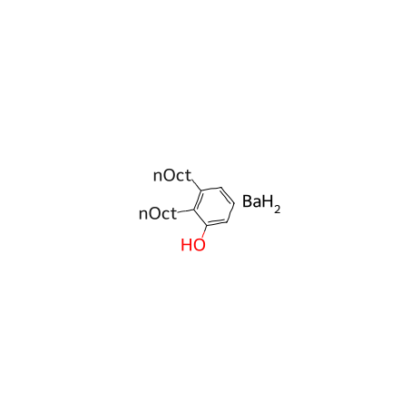 CCCCCCCCc1cccc(O)c1CCCCCCCC.[BaH2]